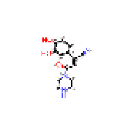 N#C/C(=C/C(=O)N1CCNCC1)c1ccc(O)c(O)c1